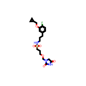 O=C1CN(COCCCS(=O)(=O)NCCCc2ccc(F)c(OCC3CC3)c2)C(=O)N1